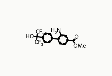 COC(=O)c1ccc(-c2ccc(C(O)(C(F)(F)F)C(F)(F)F)cc2)c(N)c1